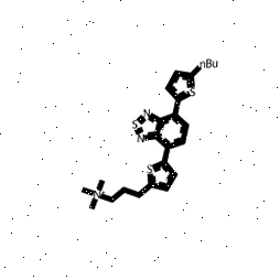 CCCCc1ccc(-c2ccc(-c3ccc(CCC[N+](C)(C)C)s3)c3nsnc23)s1